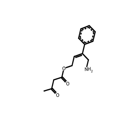 CC(=O)CC(=O)OCC=C(CN)c1ccccc1